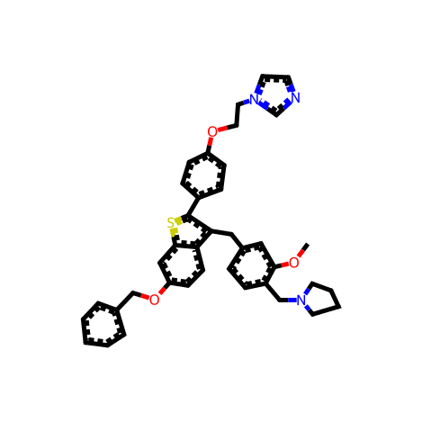 COc1cc(Cc2c(-c3ccc(OCCn4ccnc4)cc3)sc3cc(OCc4ccccc4)ccc23)ccc1CN1CCCC1